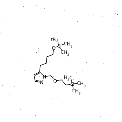 CC(C)(C)[Si](C)(C)OCCCCc1ccnn1COCC[Si](C)(C)C